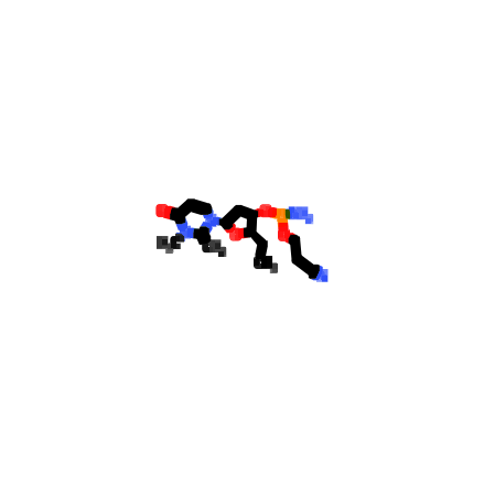 C=C1N(C)C(=O)C=CN1[C@H]1C[C@@H](OP(N)OCCC#N)[C@@H](CC)O1